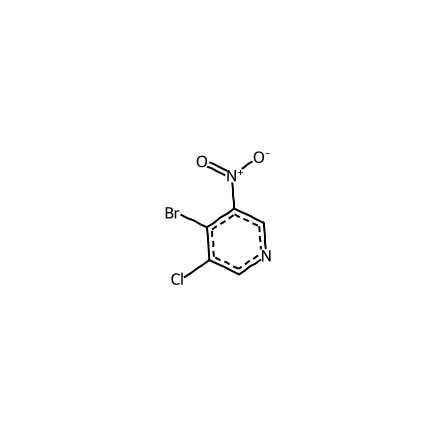 O=[N+]([O-])c1cncc(Cl)c1Br